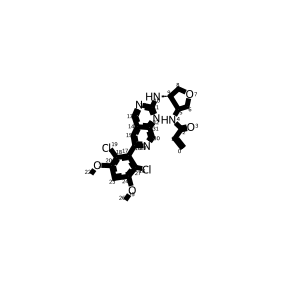 C=CC(=O)NC1COC[C@H]1Nc1ncc2cc(-c3c(Cl)c(OC)cc(OC)c3Cl)ncc2n1